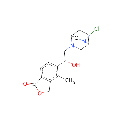 Cc1c([C@@H](O)CN2CC3CCC2CN3Cl)ccc2c1COC2=O